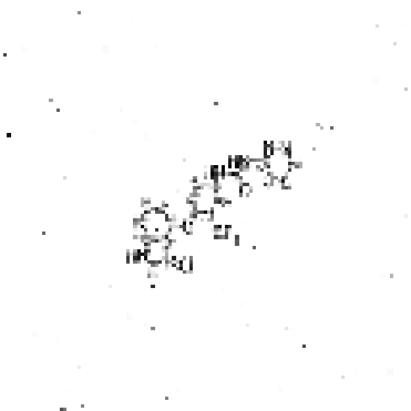 O=C(Nc1ccc(Oc2ccnc3[nH]cc(Cl)c23)c(C(F)(F)F)c1)Nc1cccnn1